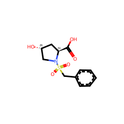 O=C(O)[C@@H]1C[C@@H](O)CN1S(=O)(=O)Cc1ccccc1